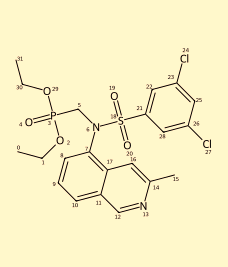 CCOP(=O)(CN(c1cccc2cnc(C)cc12)S(=O)(=O)c1cc(Cl)cc(Cl)c1)OCC